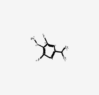 CCC(CC)c1cc(F)c(SC(C)C)c(F)c1